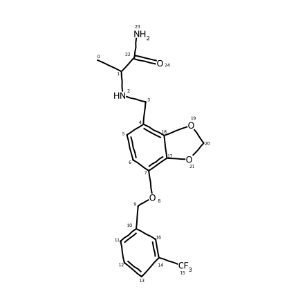 CC(NCc1ccc(OCc2cccc(C(F)(F)F)c2)c2c1OCO2)C(N)=O